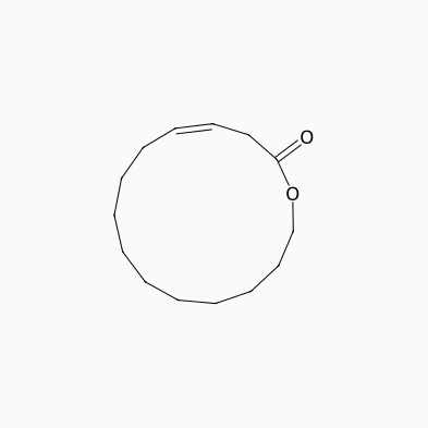 O=C1C/C=C\CCCCCCCCCCO1